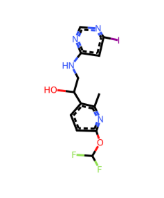 Cc1nc(OC(F)F)ccc1C(O)CNc1cc(I)ncn1